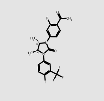 CC(=O)c1ccc(N2C(=O)N(c3ccc(I)c(C(F)(F)F)c3)[C@@H](C)[C@@H]2C)cc1F